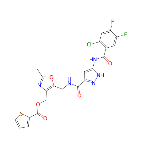 Cc1nc(COC(=O)c2cccs2)c(CNC(=O)c2cc(NC(=O)c3cc(F)c(F)cc3Cl)[nH]n2)o1